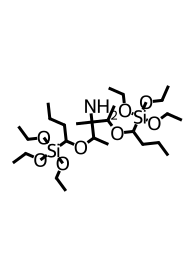 CCCC(OC(C)C(C)(N)C(C)OC(CCC)[Si](OCC)(OCC)OCC)[Si](OCC)(OCC)OCC